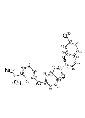 CC(C#N)c1cccc(Oc2ccc3oc(-c4ccc5ccc(Cl)cc5n4)cc3c2)c1